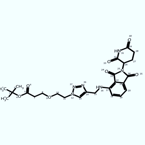 CC(C)(C)OC(=O)CCOCCn1cc(CNc2cccc3c2C(=O)N(C2CCC(=O)NC2=O)C3=O)nn1